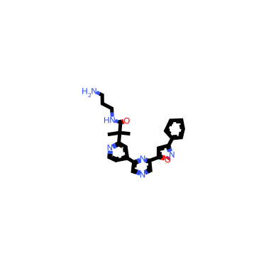 CC(C)(C(=O)NCCCN)c1cc(-c2cncc(-c3cc(-c4ccccc4)no3)n2)ccn1